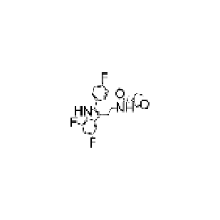 O=C(NCCc1c(-c2ccc(F)cc2)[nH]c2c(F)cc(F)cc12)[C@@H]1CCOC1